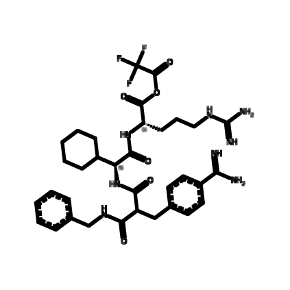 N=C(N)NCCC[C@H](NC(=O)[C@@H](NC(=O)C(Cc1ccc(C(=N)N)cc1)C(=O)NCc1ccccc1)C1CCCCC1)C(=O)OC(=O)C(F)(F)F